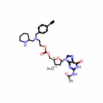 C#Cc1ccc(CN(CCOC(=O)OC[C@H]2O[C@@H](n3cnc4c(=O)[nH]c(NC(=O)C(C)C)nc43)C[C@@H]2OC(C)=O)CC2CCCCN2)cc1